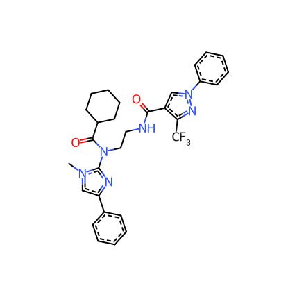 Cn1cc(-c2ccccc2)nc1N(CCNC(=O)c1cn(-c2ccccc2)nc1C(F)(F)F)C(=O)C1CCCCC1